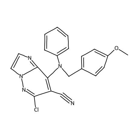 COc1ccc(CN(c2ccccc2)c2c(C#N)c(Cl)nn3ccnc23)cc1